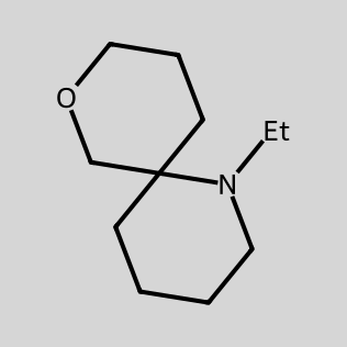 CCN1CCCCC12CCCOC2